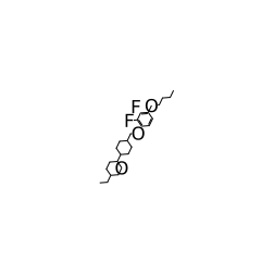 CCCCOc1ccc(OCC2CCC(C3CCC(CC)CO3)CC2)c(F)c1F